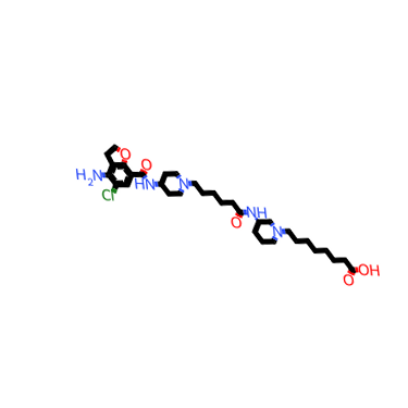 Nc1c(Cl)cc(C(=O)NC2CCN(CCCCCC(=O)N[C@@H]3CCCN(CCCCCCCC(=O)O)C3)CC2)c2c1CCO2